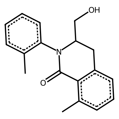 Cc1ccccc1N1C(=O)c2c(C)cccc2CC1CO